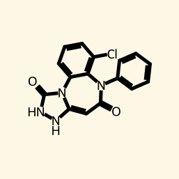 O=C1NNC2=CC(=O)N(c3ccccc3)c3c(Cl)cccc3N12